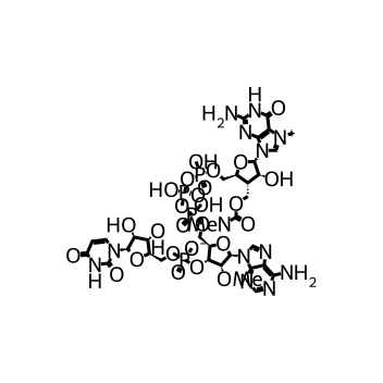 CNC(=O)OC[C@H]1[C@@H](O)[C@H](n2c[n+](C)c3c(=O)[nH]c(N)nc32)O[C@@H]1COP(=O)(O)OP(=O)(O)OP(=O)(O)OC[C@H]1O[C@@H](n2cnc3c(N)ncnc32)[C@H](OC)[C@@H]1OP(=O)([O-])OC[C@H]1O[C@@H](n2ccc(=O)[nH]c2=O)[C@H](O)[C@@H]1O